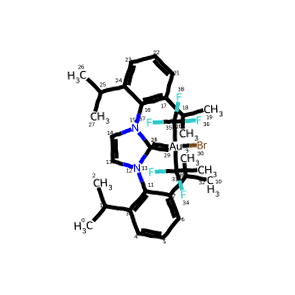 CC(C)c1cccc(C(C)C)c1-n1ccn(-c2c(C(C)C)cccc2C(C)C)[c]1=[Au]([Br])([C](C)(F)F)[C](F)(F)F